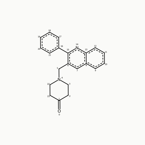 O=C1CCN(Cc2cc3ccccc3nc2-c2ccccc2)CC1